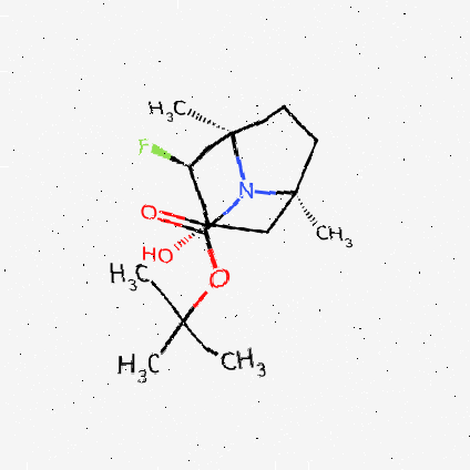 CC(C)(C)OC(=O)N1[C@@]2(C)CC[C@]1(C)[C@H](F)[C@@H](O)C2